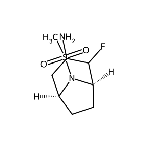 CS(=O)(=O)N1[C@H]2CC[C@@H]1C(F)C(N)C2